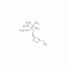 C=CC(C)(C/C=C1/CCB(CC)C1)C(C)(C)C